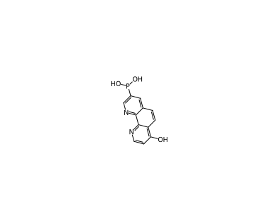 Oc1ccnc2c1ccc1cc(P(O)O)cnc12